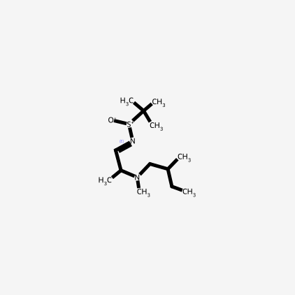 CCC(C)CN(C)C(C)/C=N/[S+]([O-])C(C)(C)C